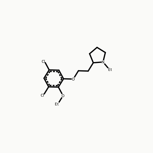 CCOc1c(Cl)cc(Cl)cc1OCCC1CCCN1CC